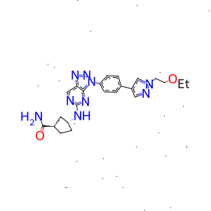 CCOCCn1cc(-c2ccc(-n3nnc4cnc(N[C@@H]5CC[C@@H](C(N)=O)C5)nc43)cc2)cn1